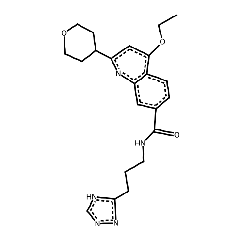 CCOc1cc(C2CCOCC2)nc2cc(C(=O)NCCCc3nnc[nH]3)ccc12